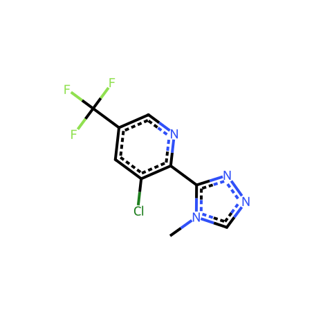 Cn1cnnc1-c1ncc(C(F)(F)F)cc1Cl